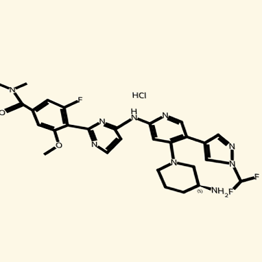 COc1cc(C(=O)N(C)C)cc(F)c1-c1nccc(Nc2cc(N3CCC[C@H](N)C3)c(-c3cnn(C(F)F)c3)cn2)n1.Cl